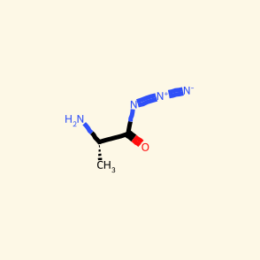 C[C@H](N)C(=O)N=[N+]=[N-]